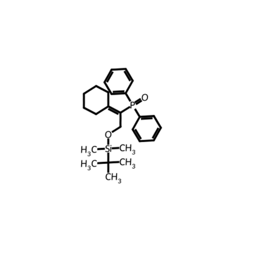 CC(C)(C)[Si](C)(C)OCC(=C1CCCCC1)P(=O)(c1ccccc1)c1ccccc1